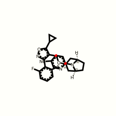 N#Cc1ccc(N2[C@@H]3CC[C@H]2C[C@@H](OCc2c(-c4c(F)cccc4F)noc2C2CC2)C3)nc1